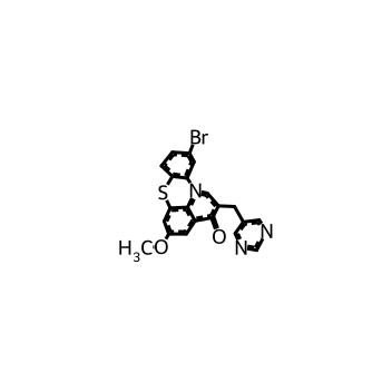 COc1cc2c3c(c1)c(=O)c(Cc1cncnc1)cn3-c1cc(Br)ccc1S2